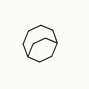 [CH]1CCCC2CCC1CC2